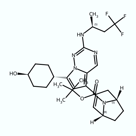 C[C@@H](CC(F)(F)F)Nc1ncc2c(C3=C[C@H]4CC[C@@H](C3)N4C(=O)OC(C)(C)C)cc([C@H]3CC[C@H](O)CC3)n2n1